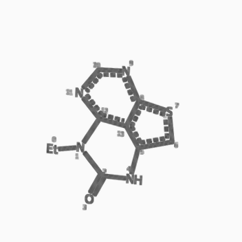 CCN1C(=O)Nc2csc3ncnc1c23